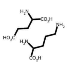 NC(CCC(=O)O)C(=O)O.NCCCC(N)C(=O)O